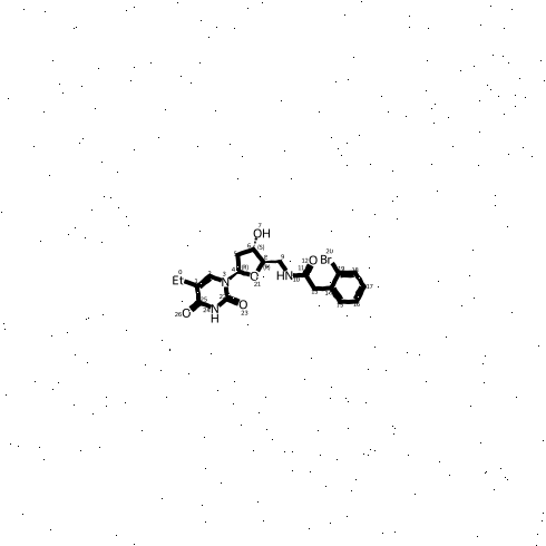 CCc1cn([C@H]2C[C@H](O)[C@@H](CNC(=O)Cc3ccccc3Br)O2)c(=O)[nH]c1=O